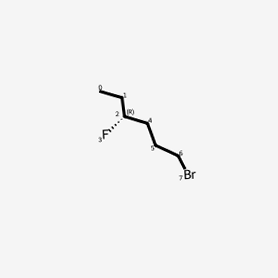 CC[C@@H](F)CCCBr